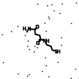 NC(=O)CCC(=O)NCCCS